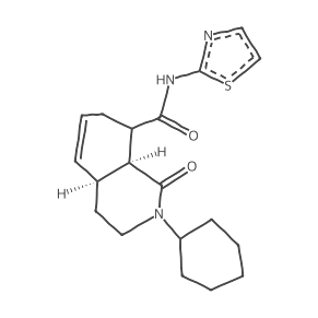 O=C(Nc1nccs1)C1CC=C[C@@H]2CCN(C3CCCCC3)C(=O)[C@H]12